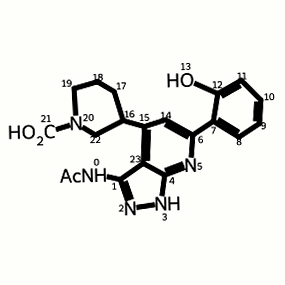 CC(=O)Nc1n[nH]c2nc(-c3ccccc3O)cc(C3CCCN(C(=O)O)C3)c12